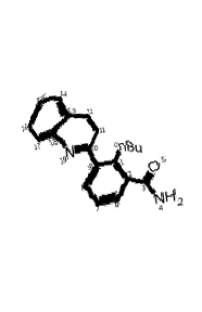 CCCCc1c(C(N)=O)cccc1-c1ccc2ccccc2n1